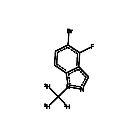 [2H]C([2H])([2H])n1ncc2c(F)c(Br)ccc21